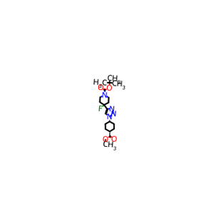 COC(=O)[C@H]1CC[C@H](n2cc(C3(F)CCN(C(=O)OC(C)(C)C)CC3)nn2)CC1